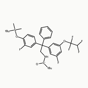 CC(C)(C)[S+]([O-])NCC(c1ccccc1)(c1cc(F)cc(OC(F)(F)C(F)F)c1)c1ccc(O[Si](C)(C)C(C)(C)C)c(F)c1